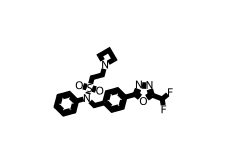 O=S(=O)(CCN1CCC1)N(Cc1ccc(-c2nnc(C(F)F)o2)cc1)c1ccccc1